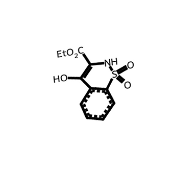 CCOC(=O)C1=C(O)c2ccccc2S(=O)(=O)N1